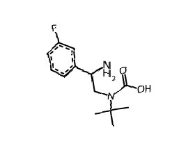 CC(C)(C)N(CC(N)c1cccc(F)c1)C(=O)O